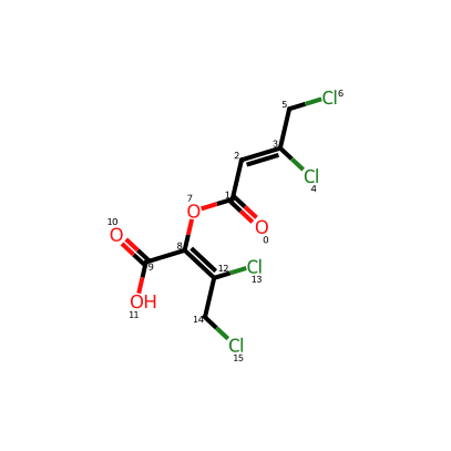 O=C(C=C(Cl)CCl)OC(C(=O)O)=C(Cl)CCl